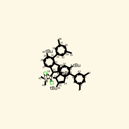 Cc1cc(C)cc(-c2c(C(C)(C)C)ccc3c2C=C(C(C)(C)C)[CH]3[Zr]([Cl])([Cl])([CH]2C(C(C)(C)C)=Cc3c2ccc(C(C)(C)C)c3-c2cc(C)cc(C)c2)[SiH](C)C)c1